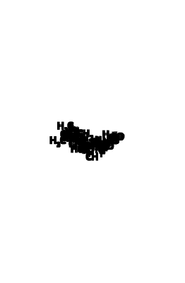 C#C[C@]1(CO)O[C@@H](n2cnc3c(NC(=O)[C@H]4CCC(=O)O4)nc(F)nc32)C[C@@H]1OC(=O)CC(C)(CC)c1c(C)cc(C)cc1OC(C)=O